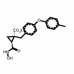 CCOC(=O)[C@@]1(Cc2ccc(Oc3ccc(C)cc3)cc2)C[C@@H]1C(=O)NO